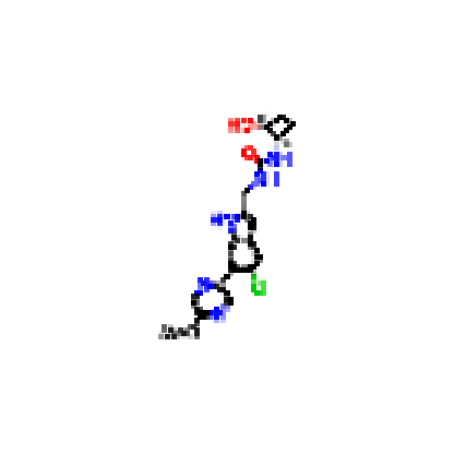 COc1cnc(-c2cc3[nH]c(CNC(=O)N[C@H]4CC[C@@H]4O)cc3cc2Cl)cn1